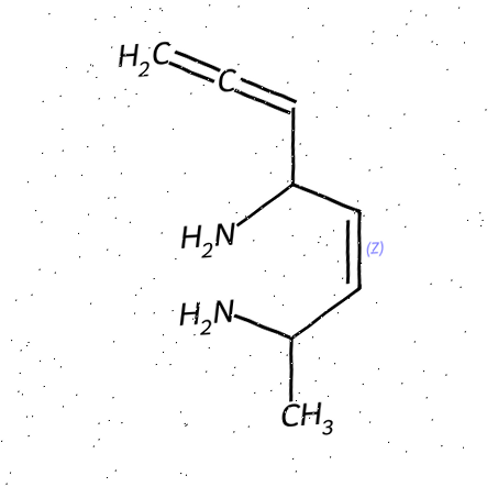 C=C=CC(N)/C=C\C(C)N